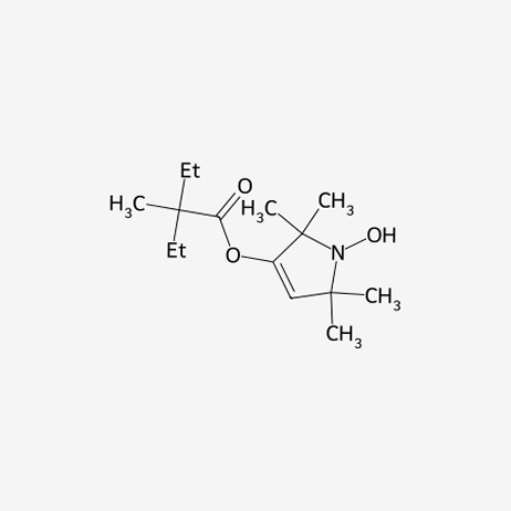 CCC(C)(CC)C(=O)OC1=CC(C)(C)N(O)C1(C)C